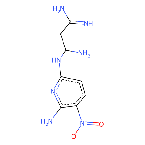 N=C(N)CC(N)Nc1ccc([N+](=O)[O-])c(N)n1